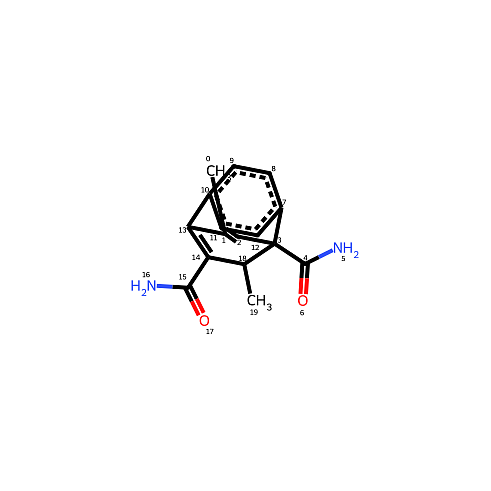 CC1=CC2(C(N)=O)c3ccc(cc3)C1=C(C(N)=O)C2C